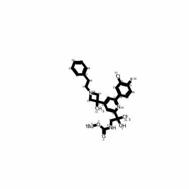 CC(C)(C)OC(=O)NCC(O)(c1cc(C2(C)CN(CCc3ccccc3)C2)cc(-c2ccc(F)c(Cl)c2)n1)C(F)(F)F